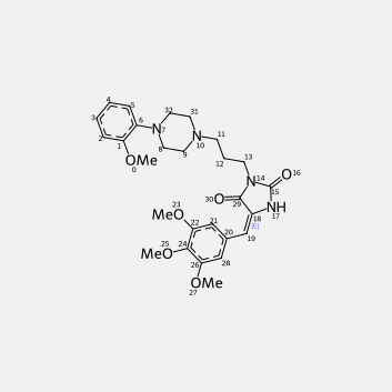 COc1ccccc1N1CCN(CCCN2C(=O)N/C(=C/c3cc(OC)c(OC)c(OC)c3)C2=O)CC1